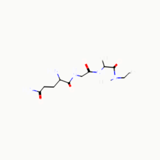 CC(C)CN(C)C(=O)C(C)NC(=O)CNC(=O)C(N)CCC(N)=O